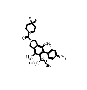 Cc1ccc(-c2c(C)c3c(c(C)c2[C@H](OC(C)(C)C)C(=O)O)CN(C(=O)N2CCC(F)(F)CC2)C3)cc1